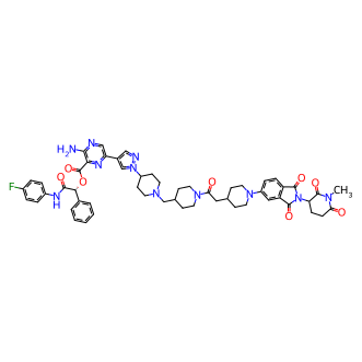 CN1C(=O)CCC(N2C(=O)c3ccc(N4CCC(CC(=O)N5CCC(CN6CCC(n7cc(-c8cnc(N)c(C(=O)O[C@@H](C(=O)Nc9ccc(F)cc9)c9ccccc9)n8)cn7)CC6)CC5)CC4)cc3C2=O)C1=O